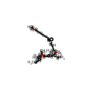 CC/C=C\C(=O)/C=C1\C[C@@]2(F)[C@@H](O)C[C@@]3(C)C(C[C@H]4OC(CCC)O[C@]43C(=O)CNC(=O)OCc3ccc(NC(=O)[C@H](CCCNC(N)=O)NC(=O)[C@@H](NC(=O)[C@H](N)CCCCNC(=O)COC4CCCCCc5c4nnn5CCOCCOCCOCCOCCC(=O)NCCS(=O)(=O)O)C(C)C)cc3)[C@@H]2C[C@@H]1F